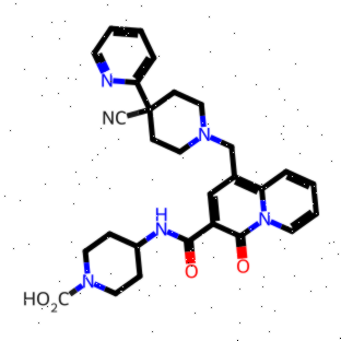 N#CC1(c2ccccn2)CCN(Cc2cc(C(=O)NC3CCN(C(=O)O)CC3)c(=O)n3ccccc23)CC1